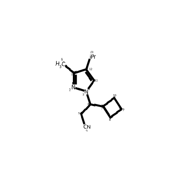 Cc1nn(C(CC#N)C2CCC2)cc1C(C)C